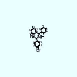 N#C[C@H](NC(c1ccccc1)c1ccccc1)c1ccc(Br)cc1